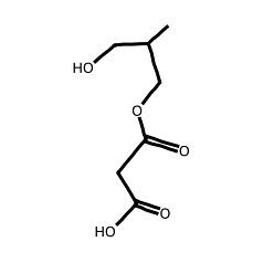 CC(CO)COC(=O)CC(=O)O